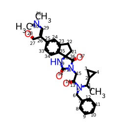 CC(C1CC1)N(Cc1ccccc1)C(=O)CN1C(=O)NC2(CCc3cc(C(C=O)=CN(C)C)ccc32)C1=O